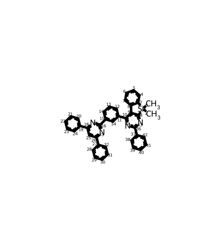 C[Si]1(C)c2ccccc2-c2c(-c3cccc(-c4nc(-c5ccccc5)cc(-c5ccccc5)n4)c3)nc(-c3ccccc3)nc21